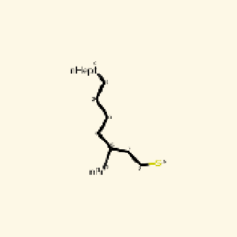 CCCCCCCCCCCC(CCC)CC[S]